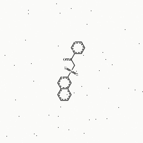 O=C(CS(=O)(=O)c1ccc2ccccc2c1)c1ccccc1